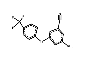 N#Cc1cc(N)cc(Oc2ccc(C(F)(F)F)cc2)c1